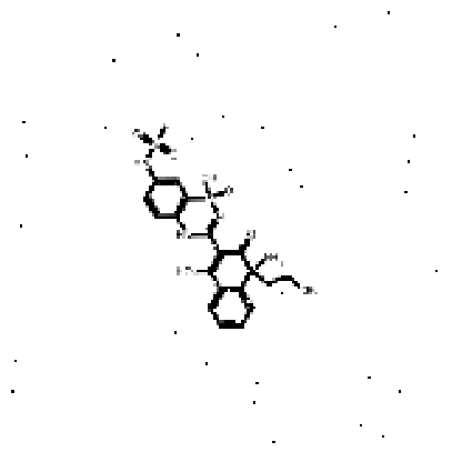 CC(C)(C)CCC1(N)C(=O)C(C2=NS(O)(O)c3cc(NS(C)(=O)=O)ccc3N2)=C(O)c2ccccc21